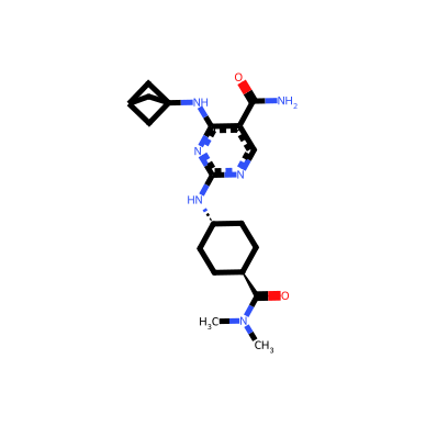 CN(C)C(=O)[C@H]1CC[C@H](Nc2ncc(C(N)=O)c(NC34CC(C3)C4)n2)CC1